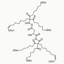 CCCCCCCC/C=C\CCCCCCC(C(=O)CCCCCCCCCCCCCCC)(C(=O)CCCCCCCCCCCCCCC)C(=O)OC(=O)CC(O)C(=O)OC(=O)C(CCCCCC/C=C\CCCCCCCC)(C(=O)CCCCCCCCCCCCCCC)C(=O)CCCCCCCCCCCCCCC